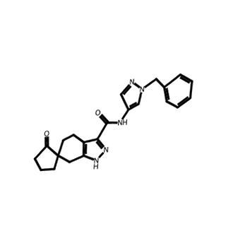 O=C(Nc1cnn(Cc2ccccc2)c1)c1n[nH]c2c1CCC1(CCCC1=O)C2